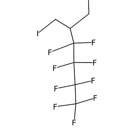 CCC(CI)C(F)(F)C(F)(F)C(F)(F)C(F)(F)F